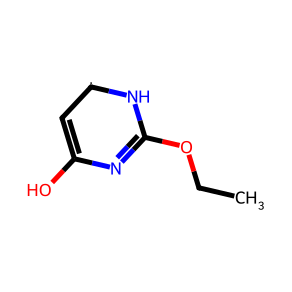 CCOC1=NC(O)=C[CH]N1